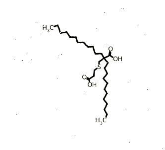 CCCCCCCCCCCCC(CCCCCCCCCCCC)(CSCCC(=O)O)C(=O)O